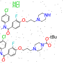 CN(C(=O)c1ccc(OCCCN2CCN(C(=O)OC(C)(C)C)CC2)c(F)c1)c1ccc(Cl)cc1.CN(C(=O)c1ccc(OCCCN2CCNCC2)c(F)c1)c1ccc(Cl)cc1.Cl.Cl